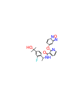 CC(NC(=O)c1cccnc1Oc1ccc2nonc2c1)c1ccc(C(C)(C)O)cc1F